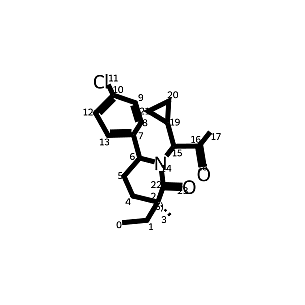 CC[C@@]1(C)CCC(c2ccc(Cl)cc2)N(C(C(C)=O)C2CC2)C1=O